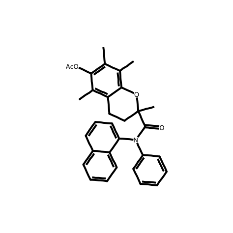 CC(=O)Oc1c(C)c(C)c2c(c1C)CCC(C)(C(=O)N(c1ccccc1)c1cccc3ccccc13)O2